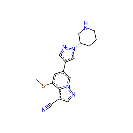 CSc1cc(-c2cnn([C@H]3CCCNC3)c2)cn2ncc(C#N)c12